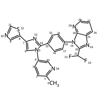 Cc1ccc(-n2cc(-c3cncs3)nc2-c2ccc(-n3c(C(F)F)nc4cccnc43)cc2)cn1